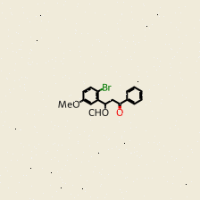 COc1ccc(Br)c(C(C=O)CC(=O)c2ccccc2)c1